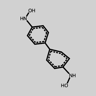 ONc1ccc(-c2ccc(NO)cc2)cc1